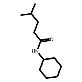 CC(C)CCC(=O)NC1CCCCC1